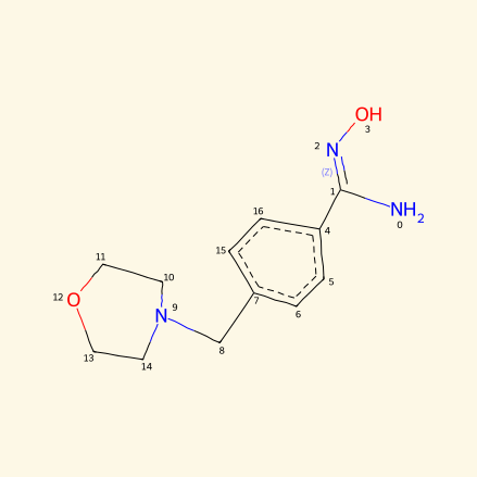 N/C(=N\O)c1ccc(CN2CCOCC2)cc1